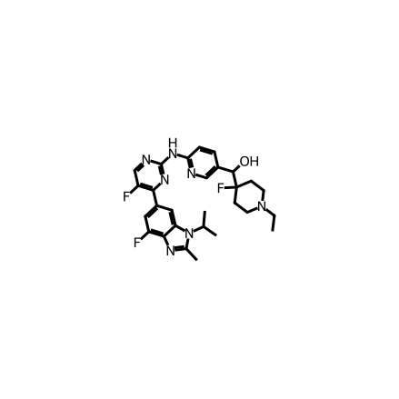 CCN1CCC(F)(C(O)c2ccc(Nc3ncc(F)c(-c4cc(F)c5nc(C)n(C(C)C)c5c4)n3)nc2)CC1